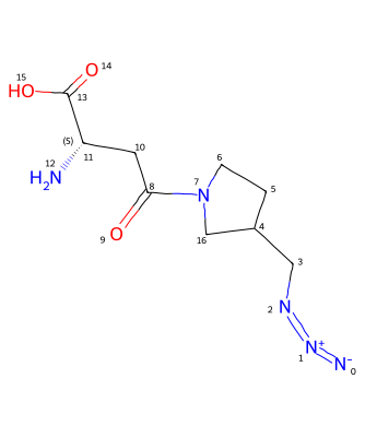 [N-]=[N+]=NCC1CCN(C(=O)C[C@H](N)C(=O)O)C1